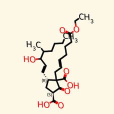 CCCCC(C)C(O)C=C[C@H]1C[C@H](C(=O)O)C(=O)C1(CC=CCCCC(=O)OCC)C(=O)O